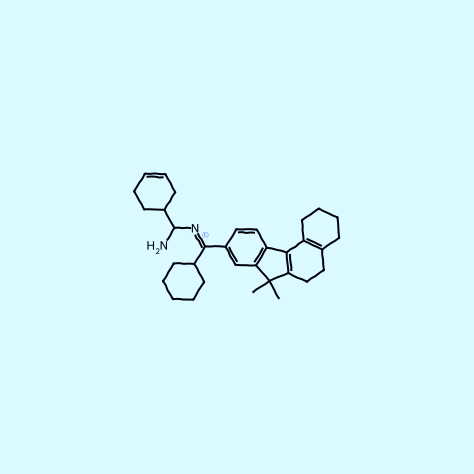 CC1(C)C2=C(C3=C(CCCC3)CC2)c2ccc(/C(=N/C(N)C3CC=CCC3)C3CCCCC3)cc21